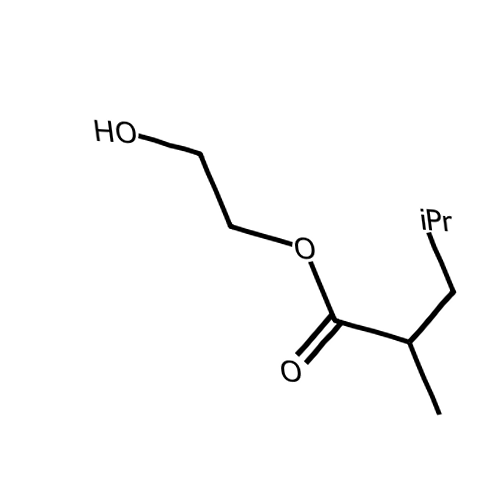 CC(C)CC(C)C(=O)OCCO